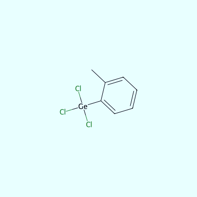 Cc1cccc[c]1[Ge]([Cl])([Cl])[Cl]